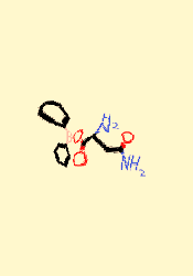 NC(=O)CC(N)C(=O)OB(c1ccccc1)c1ccccc1